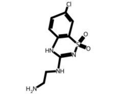 NCCNC1=NS(=O)(=O)c2cc(Cl)ccc2N1